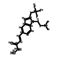 CN(C)CCn1c(CC(F)(F)F)nc2cc(/C=C/C(=O)NO)ccc21